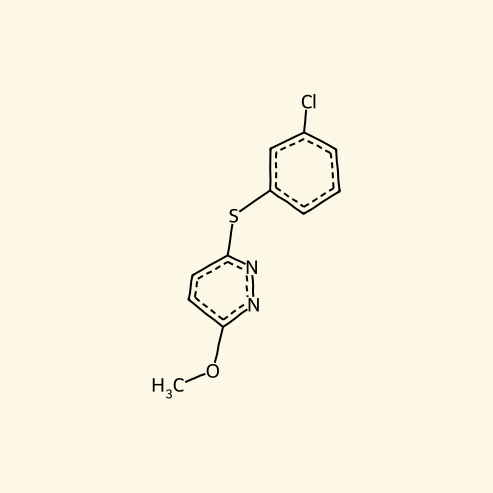 COc1ccc(Sc2cccc(Cl)c2)nn1